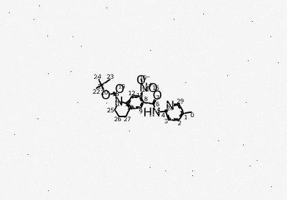 Cc1ccc(NC(=O)c2cc3c(cc2[N+](=O)[O-])N(C(=O)OC(C)(C)C)CCC3)nc1